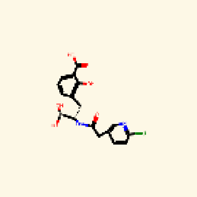 O=C(Cc1ccc(Cl)nc1)N[C@@H](Cc1cccc(C(=O)O)c1O)B(O)O